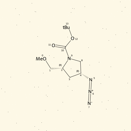 COC[C@H]1C[C@@H](N=[N+]=[N-])CN1C(=O)OC(C)(C)C